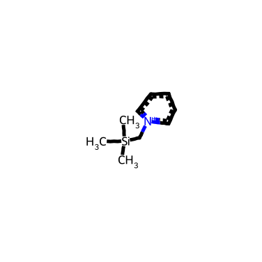 C[Si](C)(C)C[n+]1ccccc1